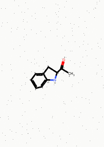 CC(=O)C1Cc2ccccc2[N]1